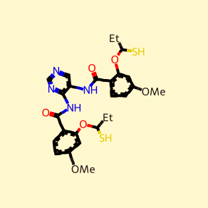 CCC(S)Oc1cc(OC)ccc1C(=O)Nc1cncnc1NC(=O)c1ccc(OC)cc1OC(S)CC